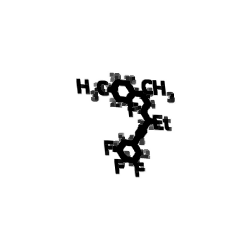 CCC(C#CC1CC(F)C(F)C(F)C1)CCC(C)C1CCC(C)CC1F